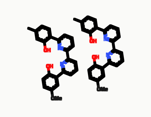 COc1ccc(O)c(-c2cccc(-c3cccc(-c4ccc(C)cc4O)n3)n2)c1.COc1ccc(O)c(-c2cccc(-c3cccc(-c4ccc(C)cc4O)n3)n2)c1